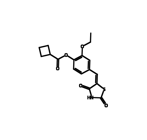 CCOc1cc(C=C2SC(=O)NC2=O)ccc1OC(=O)C1CCC1